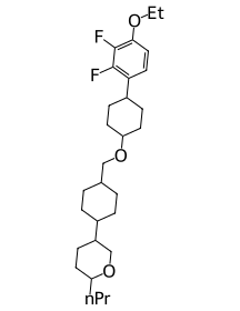 CCCC1CCC(C2CCC(COC3CCC(c4ccc(OCC)c(F)c4F)CC3)CC2)CO1